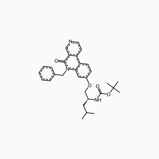 CC(C)C[C@@H](COc1ccc2c3ccncc3c(=O)n(Cc3ccccc3)c2c1)NC(=O)OC(C)(C)C